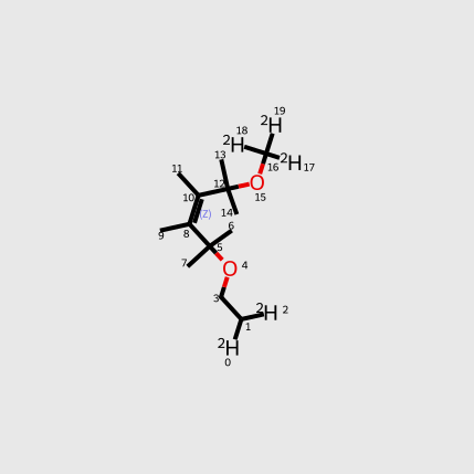 [2H]C([2H])COC(C)(C)/C(C)=C(/C)C(C)(C)OC([2H])([2H])[2H]